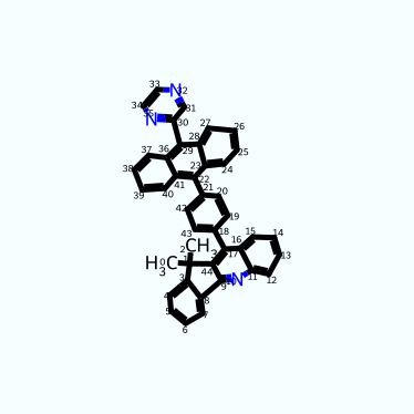 CC1(C)c2ccccc2-c2nc3ccccc3c(-c3ccc(-c4c5ccccc5c(-c5cnccn5)c5ccccc45)cc3)c21